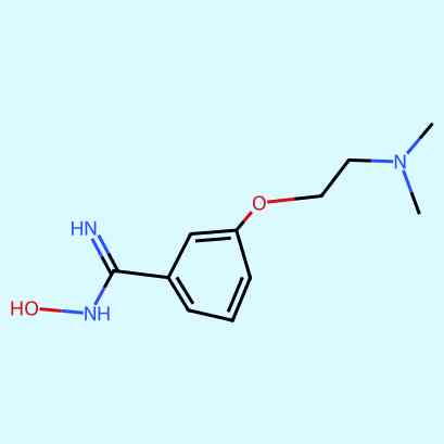 CN(C)CCOc1cccc(C(=N)NO)c1